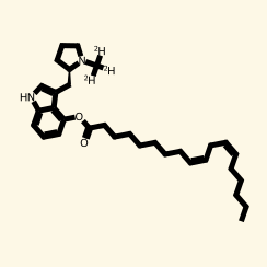 [2H]C([2H])([2H])N1CCC[C@@H]1Cc1c[nH]c2cccc(OC(=O)CCCCCCC/C=C\C/C=C\CCCCC)c12